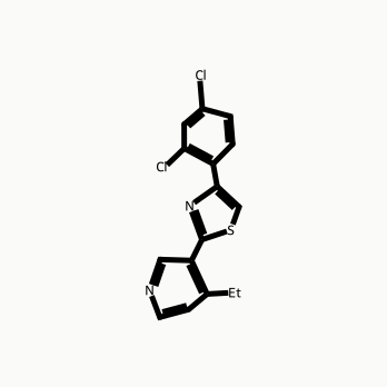 CCc1ccncc1-c1nc(-c2ccc(Cl)cc2Cl)cs1